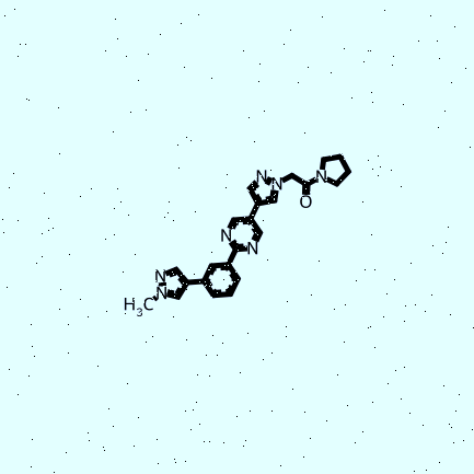 Cn1cc(-c2cccc(-c3ncc(-c4cnn(CC(=O)N5CCCC5)c4)cn3)c2)cn1